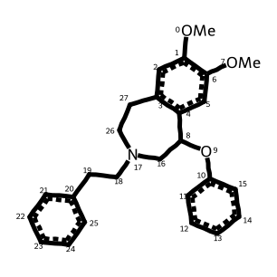 COc1cc2c(cc1OC)C(Oc1ccccc1)CN(CCc1ccccc1)CC2